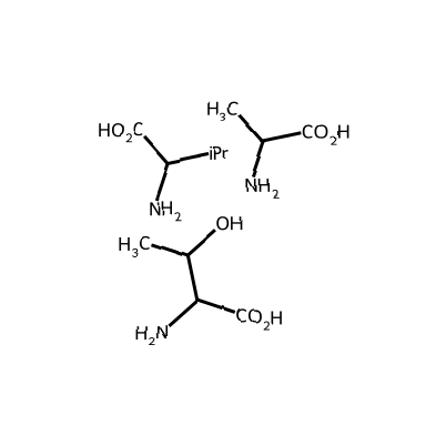 CC(C)C(N)C(=O)O.CC(N)C(=O)O.CC(O)C(N)C(=O)O